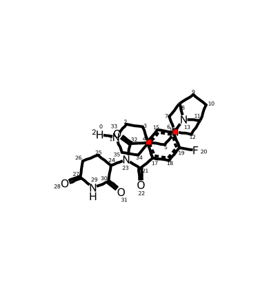 [2H]N1CCC(CN2CC3CCC(C2)N3c2cc3c(cc2F)C(=O)N(C2CCC(=O)NC2=O)C3=O)CC1